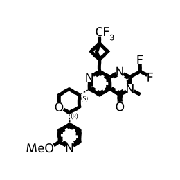 COc1cc([C@H]2C[C@@H](c3cc4c(=O)n(C)c(C(F)F)nc4c(C45CC(C(F)(F)F)(C4)C5)n3)CCO2)ccn1